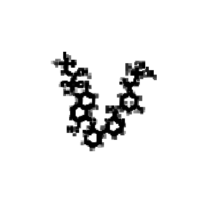 Cc1ccc2c(NS(=O)(=O)N(C)CC(F)(F)F)c(F)ccc2c1Oc1ncccc1-c1ccnc(N[C@H]2C[C@H](F)CN(C(=O)OC(C)(C)C)C2)n1